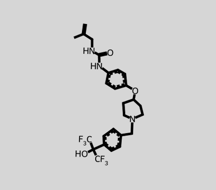 C=C(C)CNC(=O)Nc1ccc(OC2CCN(Cc3ccc(C(O)(C(F)(F)F)C(F)(F)F)cc3)CC2)cc1